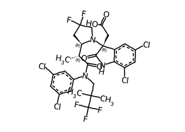 C[C@@H](C(=O)N(CC(C)(C)C(F)(F)F)c1cc(Cl)cc(Cl)c1)[C@H]1CC(F)(F)CN1[C@@]1(CC(=O)O)C(=O)Nc2c(Cl)cc(Cl)cc21